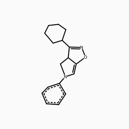 C1=C2ON=C(C3CCCCC3)C2CN1c1ccccc1